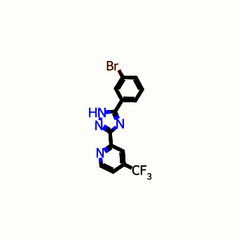 FC(F)(F)c1ccnc(-c2n[nH]c(-c3cccc(Br)c3)n2)c1